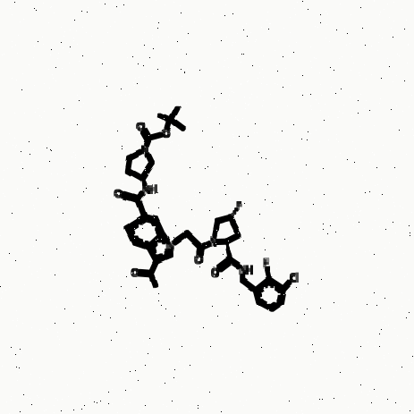 CC(=O)c1cn(CC(=O)N2C[C@H](F)C[C@H]2C(=O)NCc2cccc(Cl)c2F)c2cc(C(=O)N[C@H]3CCN(C(=O)OC(C)(C)C)C3)ccc12